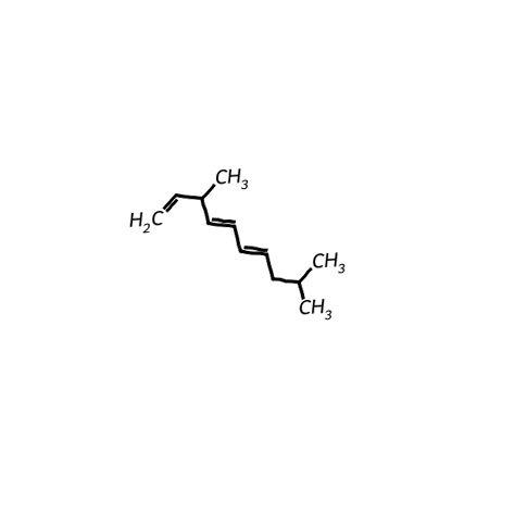 C=CC(C)C=CC=CCC(C)C